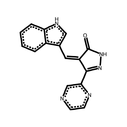 O=C1NN=C(c2cnccn2)/C1=C/c1c[nH]c2ccccc12